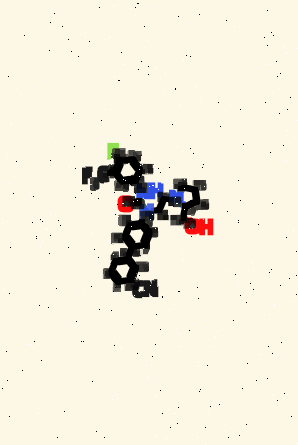 N#Cc1cccc(-c2ccc(N(CCN3CCCC3CO)C(=O)Nc3ccc(F)c(C(F)(F)F)c3)cc2)c1